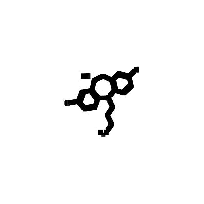 Cl.NCCCN1c2ccc(Cl)cc2CCc2cc(Cl)ccc21